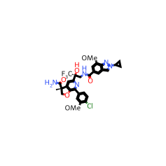 COc1cc(-c2nc([C@@](O)(CNC(=O)c3cc(OC)c4nn(C5CC5)cc4c3)C(F)(F)F)cc3c2OC[C@]3(C)C(N)=O)ccc1Cl